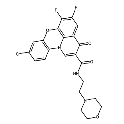 O=C(NCCN1CCOCC1)c1cn2c3c(c(F)c(F)cc3c1=O)Oc1cc(Cl)ccc1-2